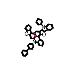 c1ccc(-c2ccc(N(c3ccc4c(c3)oc3ccccc34)c3ccccc3-c3cccc4c3oc3c5ccccc5n(-c5ccccc5)c43)cc2)cc1